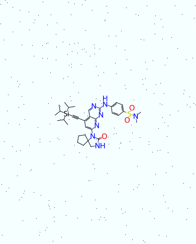 CC(C)[Si](C#Cc1cc(N2C(=O)NCC23CCCC3)nc2nc(Nc3ccc(S(=O)(=O)N(C)C)cc3)ncc12)(C(C)C)C(C)C